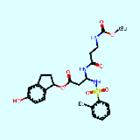 CCc1ccccc1S(=O)(=O)NC(CC(=O)OC1CCc2cc(O)ccc21)NC(=O)CCNC(=O)OC(C)(C)C